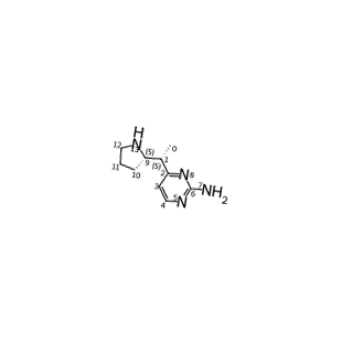 C[C@H](c1ccnc(N)n1)[C@@H]1CCCN1